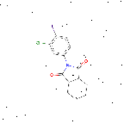 O=C1C2CCCCC2C(=O)N1c1ccc(I)c(Cl)c1